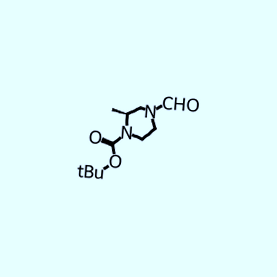 C[C@H]1CN(C=O)CCN1C(=O)OC(C)(C)C